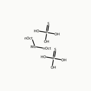 CCCCCCC[CH2][Mo][CH2]CCCCCCC.OP(O)(O)=S.OP(O)(O)=S